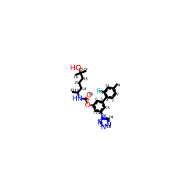 Cc1ccc(-c2cc(OC(=O)NC(C)CCCC(C)(C)O)cc(-n3cnnn3)c2)c(F)c1